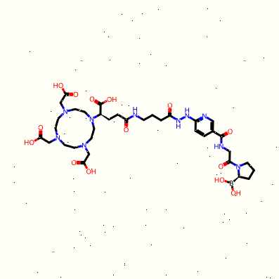 O=C(O)CN1CCN(CC(=O)O)CCN([C@H](CCC(=O)NCCCC(=O)NNc2ccc(C(=O)NCC(=O)N3CCC[C@H]3B(O)O)cn2)C(=O)O)CCN(CC(=O)O)CC1